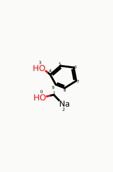 O[CH2][Na].Oc1ccccc1